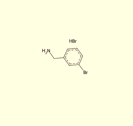 Br.NCc1cccc(Br)c1